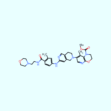 Cc1cc(Nc2cc3c(cn2)CCN(c2cnc4c(c2C)N(C(=O)OC(C)(C)C)CCO4)C3)ccc1C(=O)NCCN1CCOCC1